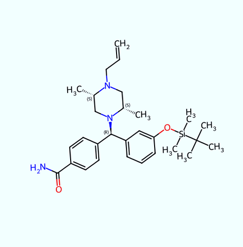 C=CCN1C[C@H](C)N([C@H](c2ccc(C(N)=O)cc2)c2cccc(O[Si](C)(C)C(C)(C)C)c2)C[C@@H]1C